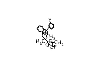 C=C(OC(=O)C(C)(C)Cn1nc(-c2cccc(F)c2)c2ccccc21)C(F)(F)F